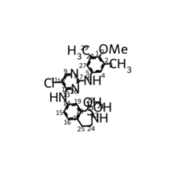 COc1c(C)cc(Nc2ncc(Cl)c(Nc3ccc4c(c3)S(O)(O)NCC4)n2)cc1C